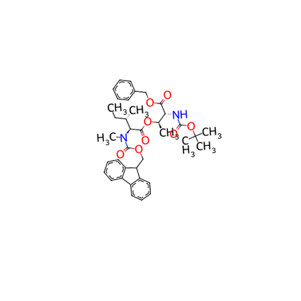 CC[C@H](C)[C@@H](C(=O)O[C@H](C)[C@@H](NC(=O)OC(C)(C)C)C(=O)OCc1ccccc1)N(C)C(=O)OCC1c2ccccc2-c2ccccc21